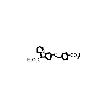 CCOC(=O)c1c2ccc(OCc3ccc(C(=O)O)cc3)cc2n2ccccc12